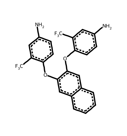 Nc1ccc(Oc2cc3ccccc3cc2Oc2ccc(N)cc2C(F)(F)F)c(C(F)(F)F)c1